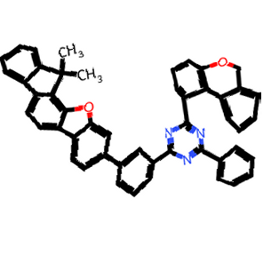 CC1(C)c2ccccc2-c2ccc3c(oc4cc(-c5cccc(-c6nc(-c7ccccc7)nc(-c7cccc8c7-c7ccccc7CO8)n6)c5)ccc43)c21